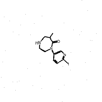 CC1CNCCN(c2ccc(I)nc2)C1=O